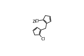 ClC1=C(CC2=C(Cl)CC=C2)C=CC1.[Zr]